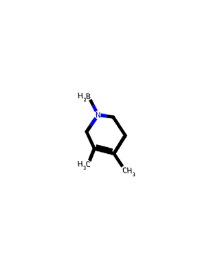 BN1CCC(C)=C(C)C1